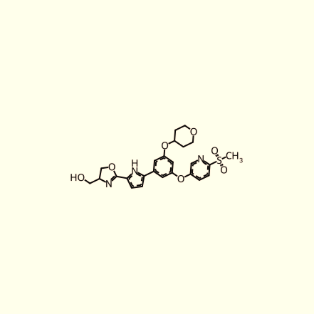 CS(=O)(=O)c1ccc(Oc2cc(OC3CCOCC3)cc(-c3ccc(C4=NC(CO)CO4)[nH]3)c2)cn1